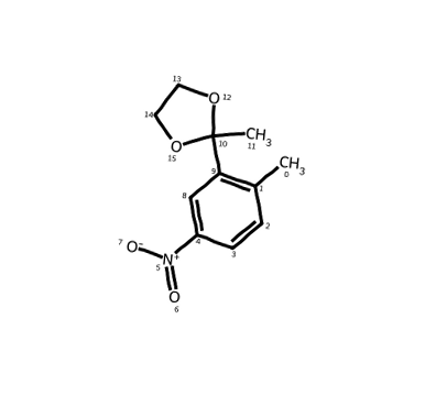 Cc1ccc([N+](=O)[O-])cc1C1(C)OCCO1